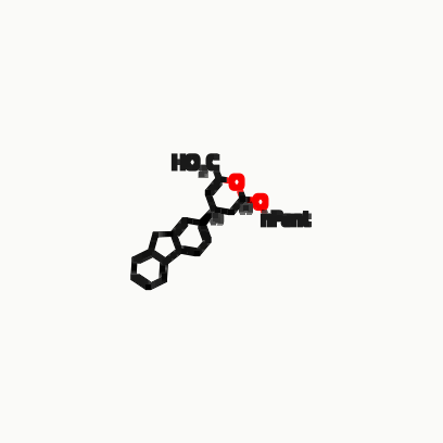 CCCCCO[C@H]1C[C@@H](c2ccc3c(c2)Cc2ccccc2-3)C=C(C(=O)O)O1